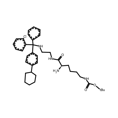 CC(C)(C)OC(=O)NCCCC[C@@H](N)C(=O)NCCNC(c1ccccc1)(c1ccc(C2CCCCC2)cc1)c1ccccc1Cl